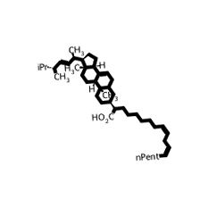 CCCCC/C=C\C/C=C\CCCCCCC(C(=O)O)[C@H]1CC[C@@]2(C)C(CC=C3[C@@H]4CC[C@H]([C@H](C)/C=C/[C@H](C)C(C)C)[C@@]4(C)CC[C@@H]32)C1